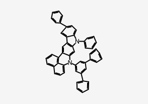 c1ccc(-c2cc(-c3ccccc3)cc(N3c4cc5c(cc4-c4cccc6cccc3c46)c3cc(-c4ccccc4)ccc3n5-c3ccccc3)c2)cc1